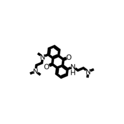 CN(C)CCNc1cccc2c1C(=O)c1cccc(N(C)CCN(C)C)c1C2=O